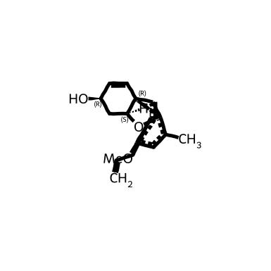 C=CCN1CC[C@]23C=C[C@H](O)C[C@@H]2Oc2c(OC)cc(C)c(c23)C1